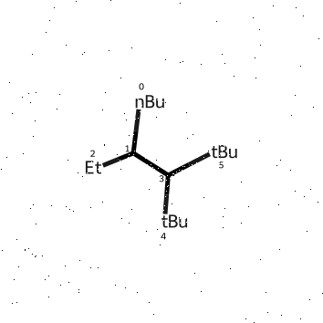 CCCCC(CC)[C](C(C)(C)C)C(C)(C)C